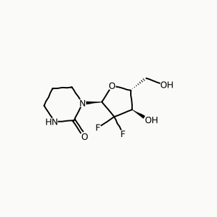 O=C1NCCCN1[C@H]1O[C@H](CO)[C@@H](O)C1(F)F